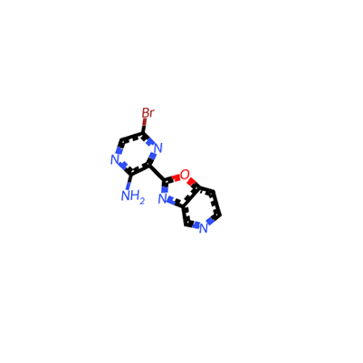 Nc1ncc(Br)nc1-c1nc2cnccc2o1